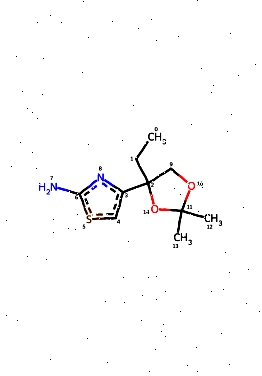 CCC1(c2csc(N)n2)COC(C)(C)O1